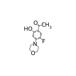 CC(=O)c1cc(F)c(N2CCOCC2)cc1O